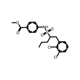 CCCC(Cc1cccc(Cl)c1Cl)S(=O)(=O)Nc1ccc(C(=O)OC)cc1